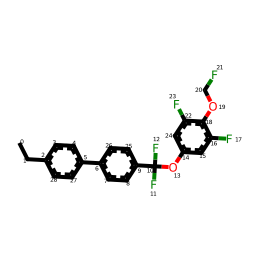 CCc1ccc(-c2ccc(C(F)(F)Oc3cc(F)c(OCF)c(F)c3)cc2)cc1